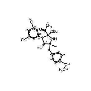 CC(C)(C)[C@@]1(C(=O)C(F)(F)F)N[C@](C)(Cc2ccc(OC(F)(F)F)cc2)C(=O)N1c1cc(Cl)cc(Cl)c1